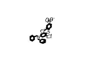 O=[N+]([O-])c1ccc(Sc2ccc(N(Cc3ccccc3)Cc3ccccc3)cc2Cl)c(Cl)c1